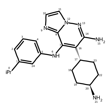 CC(C)c1cccc(Nc2c3nccn3nc(N)c2[C@H]2CC[C@H](N)CC2)c1